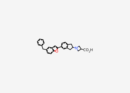 O=C(O)C1CN(C2Cc3ccc(-c4cc5cc(Cc6ccccc6)ccc5o4)cc3C2)C1